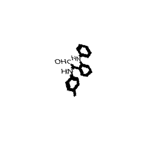 Cc1ccc(NC(C=O)c2ccccc2Nc2ccccc2)cc1